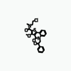 COc1c(C(=O)N(C)CCCl)sc2c1c(=O)n(CC(=O)c1ccccc1)c1ccccc21